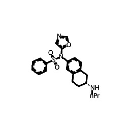 CCCN[C@@H]1CCc2cc(N(c3cnco3)S(=O)(=O)c3ccccc3)ccc2C1